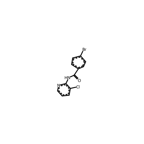 O=C(Nc1ncccc1Cl)c1ccc(Br)cc1